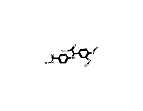 CCOc1cc(C(Nc2ccc(C(=N)NO)cc2)C(=O)OC)ccc1OC(C)C